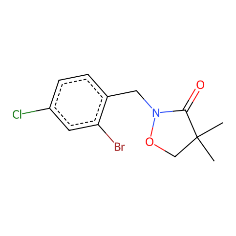 CC1(C)CON(Cc2ccc(Cl)cc2Br)C1=O